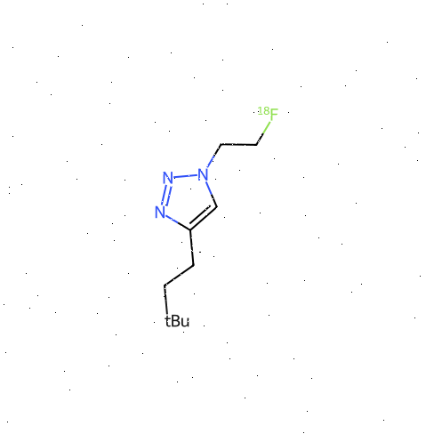 CC(C)(C)CCc1cn(CC[18F])nn1